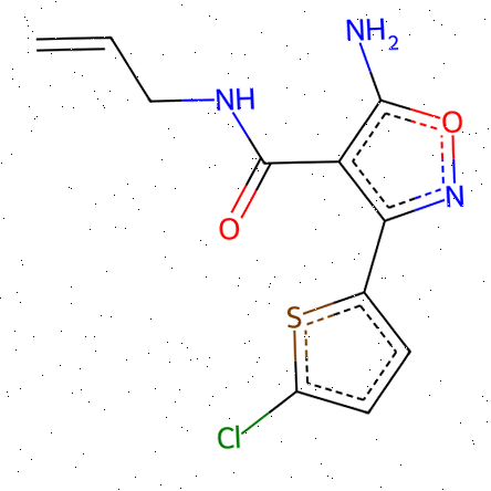 C=CCNC(=O)c1c(-c2ccc(Cl)s2)noc1N